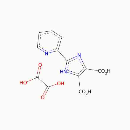 O=C(O)C(=O)O.O=C(O)c1nc(-c2ccccn2)[nH]c1C(=O)O